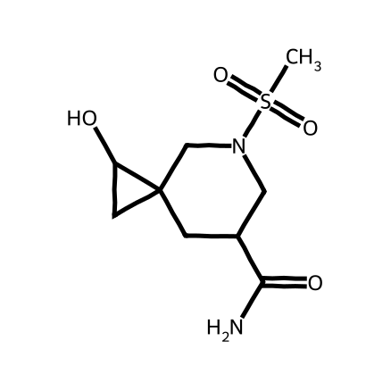 CS(=O)(=O)N1CC(C(N)=O)CC2(CC2O)C1